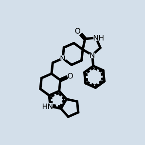 O=C1c2c([nH]c3c2CCC3)CCC1CN1CCC2(CC1)C(=O)NCN2c1ccccc1